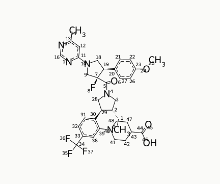 CC[C@H]1CN(C(=O)[C@]2(F)CN(c3cc(C)ncn3)C[C@H]2c2ccc(OC)cc2)C[C@@H]1c1ccc(C(F)(F)F)cc1N1CCC(C(=O)O)CC1